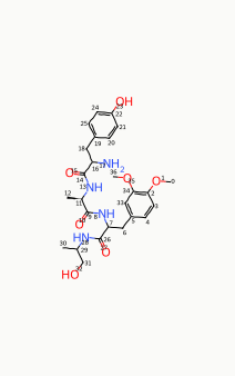 COc1ccc(CC(NC(=O)[C@@H](C)NC(=O)C(N)Cc2ccc(O)cc2)C(=O)NC(C)CO)cc1OC